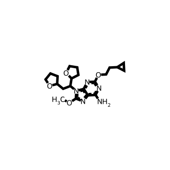 COc1nc2c(N)nc(OCCC3CC3)nc2n1C(CC1CCCO1)C1CCCO1